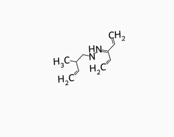 C=CC(C=C)=NNCC(C)C=C